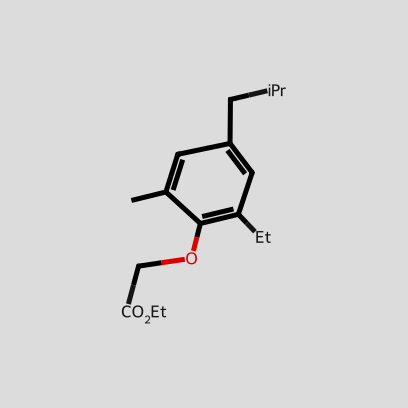 CCOC(=O)COc1c(C)cc(CC(C)C)cc1CC